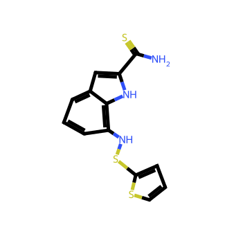 NC(=S)c1cc2cccc(NSc3cccs3)c2[nH]1